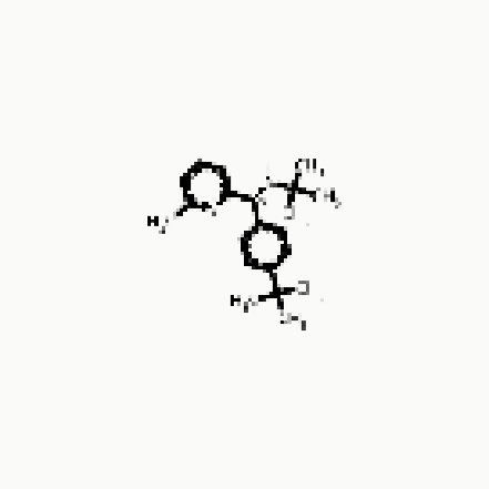 Cc1cccc([C@@H](NC(C)(C)C)c2ccc(C(C)(C)C)cc2)n1